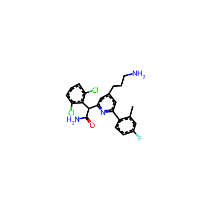 Cc1cc(F)ccc1-c1cc(CCCN)cc(C(C(N)=O)c2c(Cl)cccc2Cl)n1